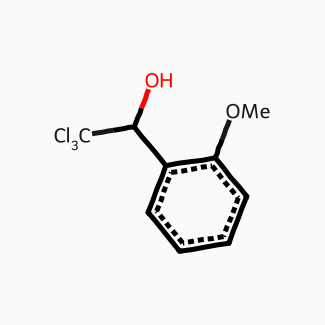 COc1ccccc1C(O)C(Cl)(Cl)Cl